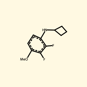 COc1ccc(NC2CCC2)c(F)c1F